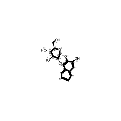 OC[C@H]1O[C@H](Oc2cc3ccccc3cc2O)[C@H](O)[C@@H](O)[C@@H]1O